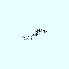 COC[C@H]1CC[C@@H](/C=N/c2ncc3c(Br)ccn3n2)CC1